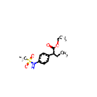 CCOC(=O)C(CC)c1ccc(NS(C)(=O)=O)cc1